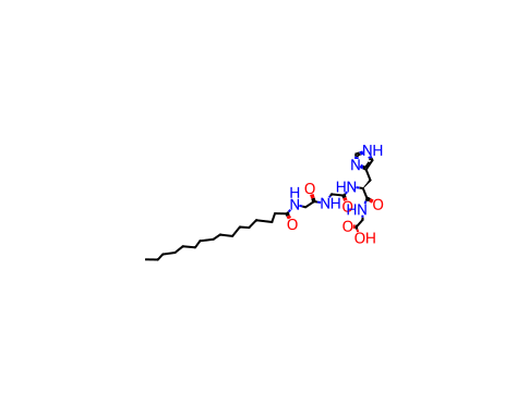 CCCCCCCCCCCCCCCC(=O)NCC(=O)NCC(=O)N[C@@H](Cc1c[nH]cn1)C(=O)NCC(=O)O